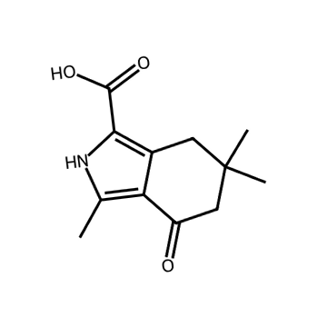 Cc1[nH]c(C(=O)O)c2c1C(=O)CC(C)(C)C2